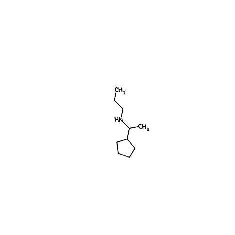 [CH2]CCNC(C)C1CCCC1